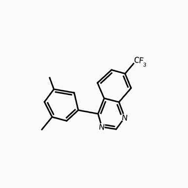 Cc1cc(C)cc(-c2ncnc3cc(C(F)(F)F)ccc23)c1